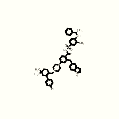 Cc1cc(S(=O)(=O)NC(=O)c2ccc(N3CCN(CC4=C(c5ccc(Cl)cc5)CC(C)(C)CC4)CC3)cc2Cc2ccc3[nH]ccc3c2)ccc1N[C@@H](C)c1ccccc1